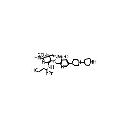 CCCC(CCO)Nc1nc(NC(=O)O)nc2cnn(Cc3ncc(C4CCN(C5CCNCC5)CC4)cc3OC)c12